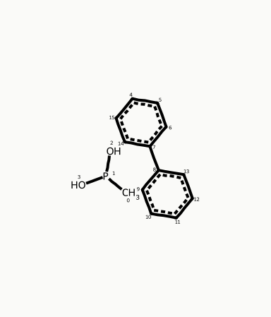 CP(O)O.c1ccc(-c2ccccc2)cc1